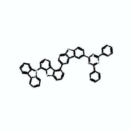 c1ccc(-c2nc(-c3ccccc3)nc(-c3ccc4oc5ccc(-c6cccc7sc8c(-n9c%10ccccc%10c%10ccccc%109)cccc8c67)cc5c4c3)n2)cc1